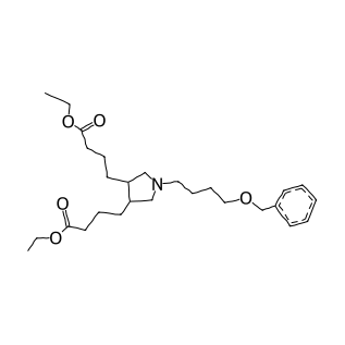 CCOC(=O)CCCC1CN(CCCCOCc2ccccc2)CC1CCCC(=O)OCC